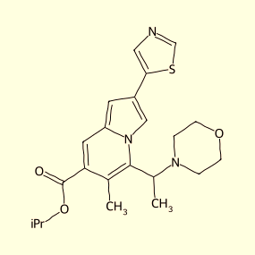 Cc1c(C(=O)OC(C)C)cc2cc(-c3cncs3)cn2c1C(C)N1CCOCC1